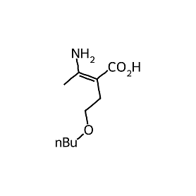 CCCCOCC/C(C(=O)O)=C(\C)N